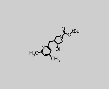 Cc1cc(C)nc(CC2CN(C(=O)OC(C)(C)C)C[C@H]2O)c1